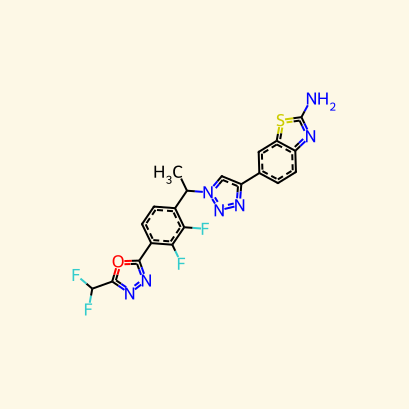 CC(c1ccc(-c2nnc(C(F)F)o2)c(F)c1F)n1cc(-c2ccc3nc(N)sc3c2)nn1